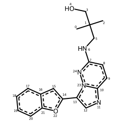 CC(C)(CO)CNc1ccc2ncc(-c3cc4ccccc4o3)n2n1